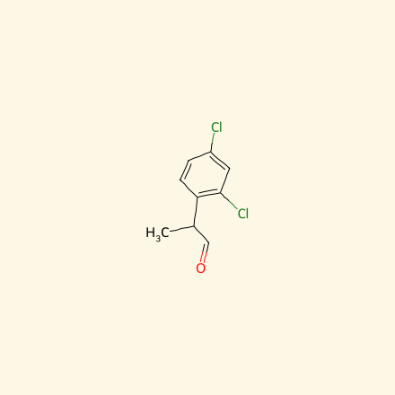 CC(C=O)c1ccc(Cl)cc1Cl